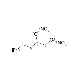 CC(C)CCC(CO[N+](=O)[O-])O[N+](=O)[O-]